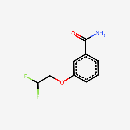 NC(=O)c1cccc(OCC(F)F)c1